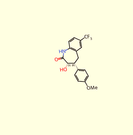 COc1ccc([C@H]2Cc3cc(C(F)(F)F)ccc3NC(=O)[C@H]2O)cc1